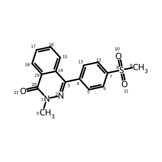 Cn1nc(-c2ccc(S(C)(=O)=O)cc2)c2ccccc2c1=O